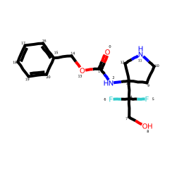 O=C(NC1(C(F)(F)CO)CCNC1)OCc1ccccc1